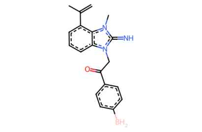 Bc1ccc(C(=O)Cn2c(=N)n(C)c3c(C(=C)C)cccc32)cc1